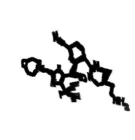 N#Cc1ccc(-c2ncc(CCN)cn2)c(C(=O)c2sc(N3CCOCC3)nc2C(F)(F)F)c1